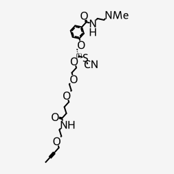 CC#CCOCCNC(=O)CCCOCCOCCO[C@H](COc1cccc(C(=O)NCCNC)c1)SC#N